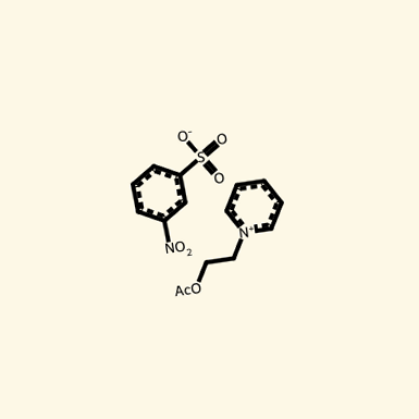 CC(=O)OCC[n+]1ccccc1.O=[N+]([O-])c1cccc(S(=O)(=O)[O-])c1